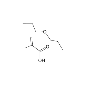 C=C(C)C(=O)O.CCCOCCC